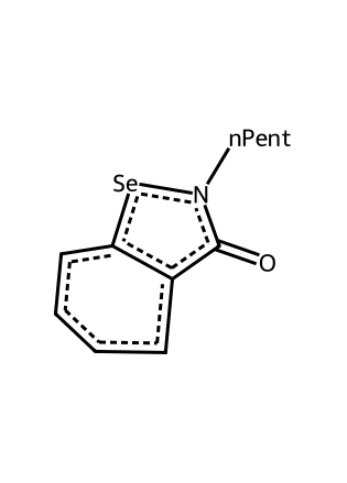 CCCCCn1[se]c2ccccc2c1=O